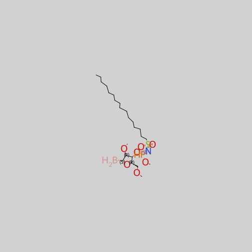 B[C@@H]1O[C@H](COC)C(O/[PH](=N\S(=O)(=O)CCCCCCCCCCCCCCCC)OC)[C@@H]1OC